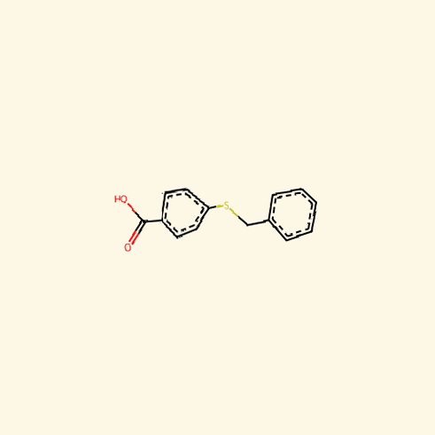 O=C(O)c1[c]cc(SCc2ccccc2)cc1